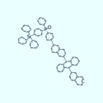 O=P(c1ccccc1)(c1ccc(-c2ccc3cc(-c4c5ccccc5c(-c5ccc6ccccc6c5)c5ccccc45)ccc3c2)cc1)c1ccc([Si](c2ccccc2)(c2ccccc2)c2ccccc2)cc1